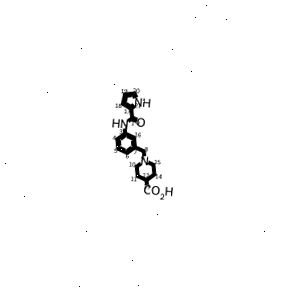 O=C(Nc1cccc(CN2CCC(C(=O)O)CC2)c1)c1ccc[nH]1